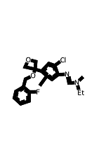 CCN(C)C=Nc1cc(C)c(C2(OCc3ccccc3F)COC2)cc1Cl